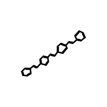 C(=Cc1ccc(C=Cc2ccc(C=Cc3ccccc3)cc2)cc1)c1ccccc1